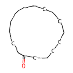 O=C1CCCCCC[CH]CCCCCCCC1